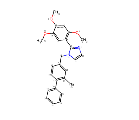 COc1cc(OC)c(-c2nccn2Cc2ccc(-c3ccccc3)[c]([Na])c2)cc1OC